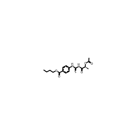 CCCCOC(=O)c1ccc(NC(=S)NC(=O)[C@H](C)OC(C)=O)cc1